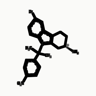 CC(C)(c1ccc([N+](=O)[O-])cc1)n1c2c(c3cc(Br)ccc31)CC[C@H](N)C2